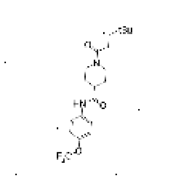 CC(C)(C)CCC(=O)N1CCC(C(=O)Nc2ccc(OC(F)(F)F)cc2)CC1